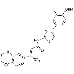 COc1ccc(-c2csc(NC(=O)C=C(c3ccc4c(c3)OCCO4)C(F)(F)F)n2)cc1F